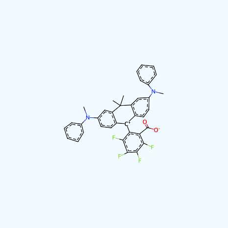 CN(c1ccccc1)c1ccc2c(c1)C(C)(C)c1cc(N(C)c3ccccc3)ccc1[C+]2c1c(F)c(F)c(F)c(F)c1C(=O)[O-]